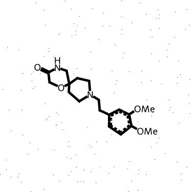 COc1ccc(CCN2CCC3(CC2)CNC(=O)CO3)cc1OC